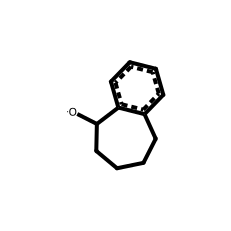 [O]C1CCCCc2ccccc21